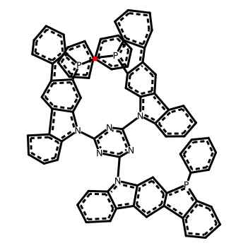 c1ccc(-p2c3ccccc3c3cc4c5ccccc5n(-c5nc(-n6c7ccccc7c7cc8c9ccccc9p(-c9ccccc9)c8cc76)nc(-n6c7ccccc7c7cc8c9ccccc9p(-c9ccccc9)c8cc76)n5)c4cc32)cc1